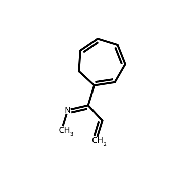 C=C/C(=N\C)C1=CC=CC=CC1